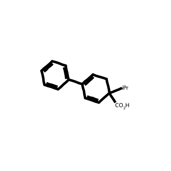 CC(C)C1(C(=O)O)C=CC(c2ccccc2)=CC1